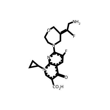 NC/C(F)=C1\COCCN(c2nc3c(cc2F)c(=O)c(C(=O)O)cn3C2CC2)C1